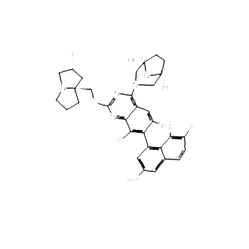 O=[N+]([O-])c1cc2c(N3C[C@H]4CC[C@@H](C3)N4)nc(OC[C@@]34CCCN3C[C@H](F)C4)nc2c(F)c1-c1cc(O)cc2ccc(F)c(F)c12